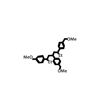 CCC(CC(CC(CC)c1ccc(COC)cc1)c1ccc(COC)cc1)c1ccc(COC)cc1